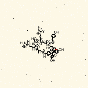 C[C@H](Cc1ccc(O)cc1)NC(=O)[C@H](CCc1ccccc1)NC(=O)CNC(=O)[C@@H](NC(=O)[C@H](CO)NC(=O)[C@H](CCCNC(=N)N)NC(=O)CCNC(=S)Nc1ccc2c(c1)C(=O)OC21c2ccc(O)cc2Oc2cc(O)ccc21)[C@@H](C)CCNC(N)=O